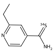 CCc1cc(C(N)=[34S])ccn1